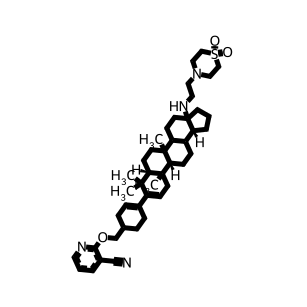 CC1(C)C(C2=CCC(COc3ncccc3C#N)CC2)=CCC2(C)[C@H]1CCC1(C)C3CCC4(NCCN5CCS(=O)(=O)CC5)CCC[C@@H]4C3CC[C@@H]12